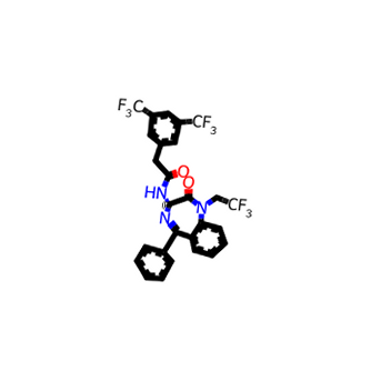 O=C(Cc1cc(C(F)(F)F)cc(C(F)(F)F)c1)N[C@@H]1N=C(c2ccccc2)c2ccccc2N(CC(F)(F)F)C1=O